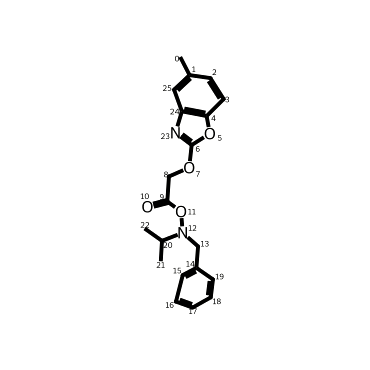 Cc1ccc2oc(OCC(=O)ON(Cc3ccccc3)C(C)C)nc2c1